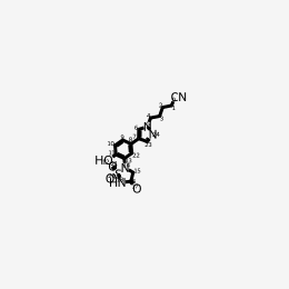 N#CCCCCn1cc(-c2ccc(O)c(N3CC(=O)NS3(=O)=O)c2)cn1